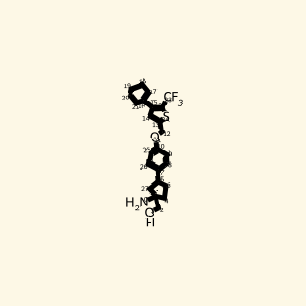 NC1(CO)CCC(c2ccc(OCc3cc(-c4ccccc4)c(C(F)(F)F)s3)cc2)C1